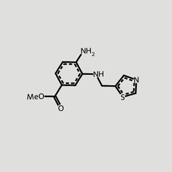 COC(=O)c1ccc(N)c(NCc2cncs2)c1